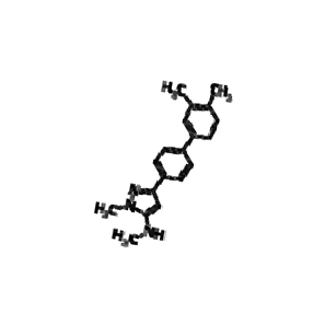 CNc1cc(-c2ccc(-c3ccc(C)c(C)c3)cc2)nn1C